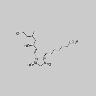 CC(CCCl)CC(O)C=C[C@H]1[C@H](O)CC(=O)[C@@H]1CCCCCCC(=O)O